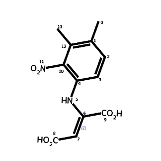 Cc1ccc(N/C(=C\C(=O)O)C(=O)O)c([N+](=O)[O-])c1C